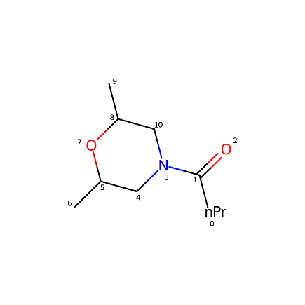 CCCC(=O)N1CC(C)OC(C)C1